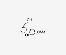 COc1ccc(C2(O)CN(CCO)CCO2)cc1